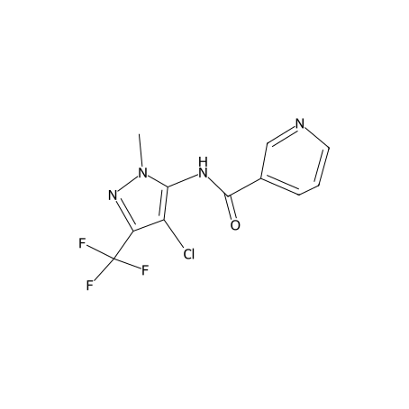 Cn1nc(C(F)(F)F)c(Cl)c1NC(=O)c1cccnc1